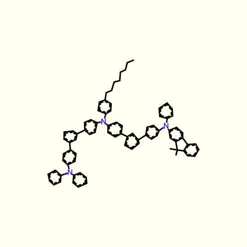 CCCCCCCCc1ccc(N(c2ccc(-c3cccc(-c4ccc(N(c5ccccc5)c5ccccc5)cc4)c3)cc2)c2ccc(-c3cccc(-c4ccc(N(c5ccccc5)c5ccc6c(c5)C(C)(C)c5ccccc5-6)cc4)c3)cc2)cc1